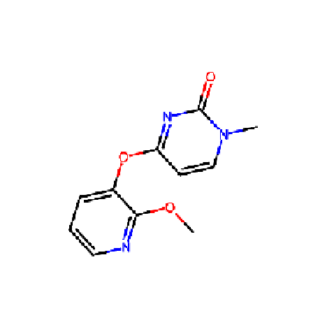 COc1ncccc1Oc1ccn(C)c(=O)n1